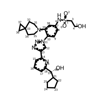 O=S(=O)(CCO)Nc1ccc(-n2cc(-c3cccc([C@H](O)C4CCCC4)n3)nn2)c(N2CCC3(CC2)CC3)c1